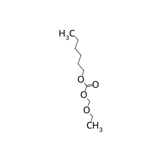 CCCCCCOC(=O)OCOCC